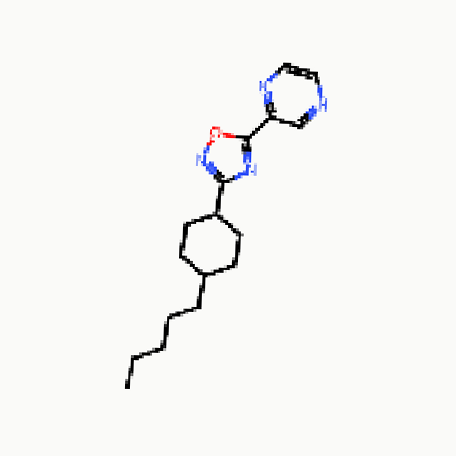 CCCCCC1CCC(c2noc(-c3cnccn3)n2)CC1